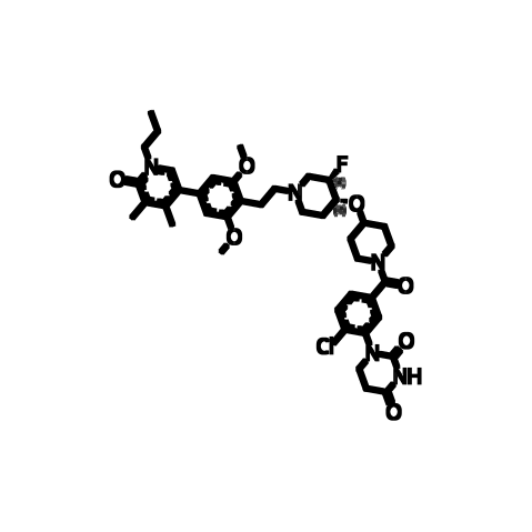 CCCn1cc(-c2cc(OC)c(CCN3CC[C@@H](OC4CCN(C(=O)c5ccc(Cl)c(N6CCC(=O)NC6=O)c5)CC4)[C@H](F)C3)c(OC)c2)c(C)c(C)c1=O